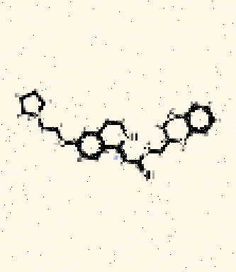 N=C(/C=C1\NCCc2cc(OCCN3CCCC3)ccc21)OCC1COc2ccccc2O1